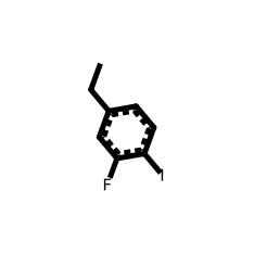 CCc1ccc(I)c(F)c1